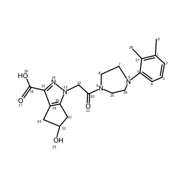 Cc1cccc(N2CCN(C(=O)Cn3nc(C(=O)O)c4c3CC(O)C4)CC2)c1C